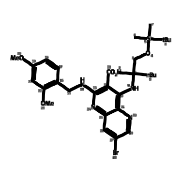 CCCCC(C)(CO[Si](C)(C)C(C)(C)C)Nc1c(C(=O)O)c(NCc2ccc(OC)cc2OC)nc2cc(Br)cnc12